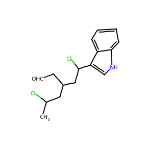 CC(Cl)CC(CC=O)CC(Cl)c1c[nH]c2ccccc12